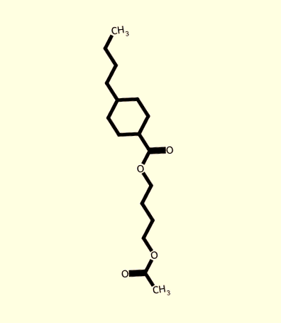 CCCCC1CCC(C(=O)OCCCCOC(C)=O)CC1